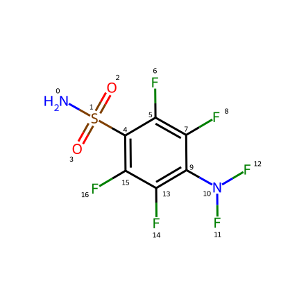 NS(=O)(=O)c1c(F)c(F)c(N(F)F)c(F)c1F